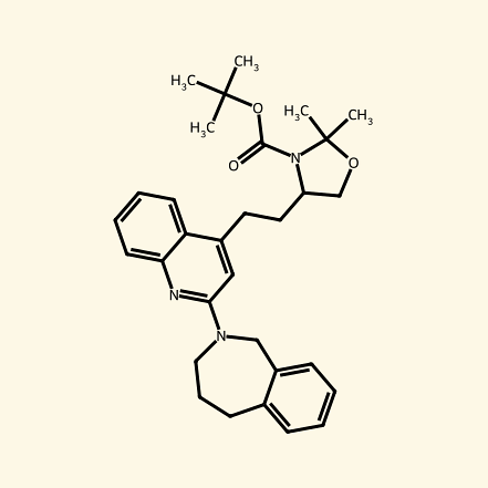 CC(C)(C)OC(=O)N1C(CCc2cc(N3CCCc4ccccc4C3)nc3ccccc23)COC1(C)C